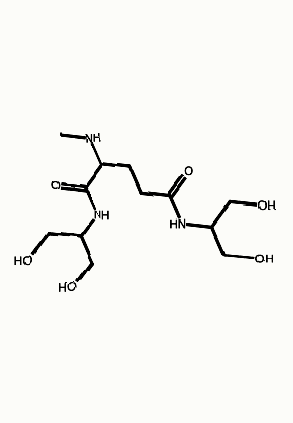 CNC(CCC(=O)NC(CO)CO)C(=O)NC(CO)CO